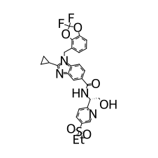 CCS(=O)(=O)c1ccc([C@@H](CO)NC(=O)c2ccc3c(c2)nc(C2CC2)n3Cc2cccc3c2OC(F)(F)O3)nc1